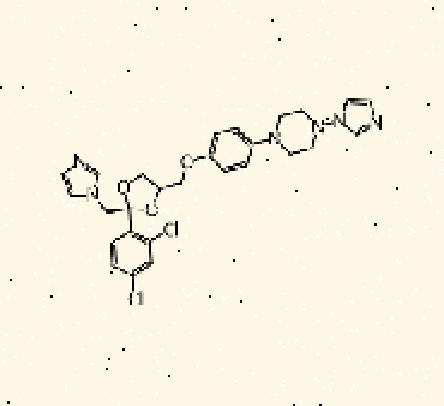 Clc1ccc([C@]2(Cn3ccnc3)OC[C@@H](COc3ccc(N4CCN(n5ccnc5)CC4)cc3)O2)c(Cl)c1